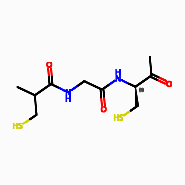 CC(=O)[C@@H](CS)NC(=O)CNC(=O)C(C)CS